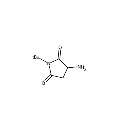 CC(C)(C)N1C(=O)CC(N)C1=O